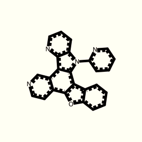 c1ccc(-n2c3cccnc3c3c4cnccc4c4oc5ccccc5c4c32)nc1